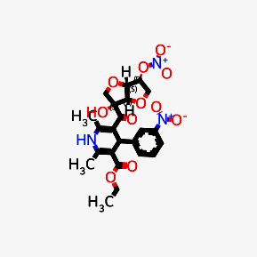 CCOC(=O)C1=C(C)NC(C)=C(C(=O)[C@]2(O)CO[C@@H]3[C@H](O[N+](=O)[O-])CO[C@@H]32)C1c1cccc([N+](=O)[O-])c1